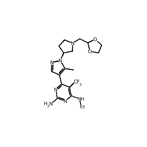 CCNc1nc(N)nc(-c2cnn(C3CCN(CC4OCCO4)C3)c2C)c1C(F)(F)F